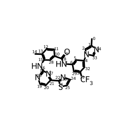 Cc1cn(-c2cc(NC(=O)c3ccc(C)c(Nc4nccc(-c5nccs5)n4)c3)cc(C(F)(F)F)c2)cn1